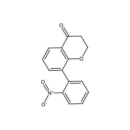 O=C1CCOc2c1cccc2-c1ccccc1[N+](=O)[O-]